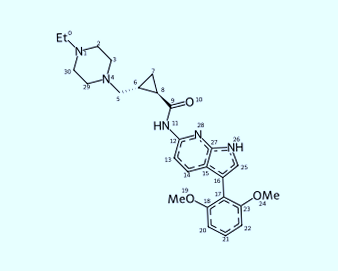 CCN1CCN(C[C@@H]2C[C@H]2C(=O)Nc2ccc3c(-c4c(OC)cccc4OC)c[nH]c3n2)CC1